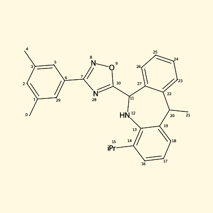 Cc1cc(C)cc(-c2noc(C3Nc4c(C(C)C)cccc4C(C)c4ccccc43)n2)c1